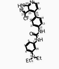 CCN(CC)c1cccc(NC(=O)Nc2ccc(-c3ccnc4[nH]nc(C(F)(F)F)c34)cc2)c1